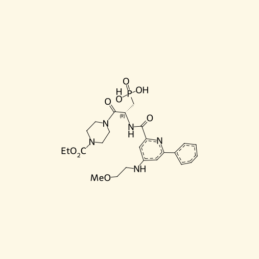 CCOC(=O)N1CCN(C(=O)[C@H](CP(=O)(O)O)NC(=O)c2cc(NCCOC)cc(-c3ccccc3)n2)CC1